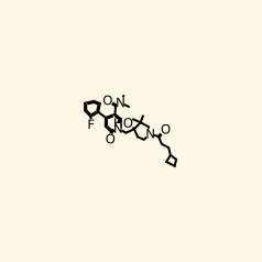 CN(C)C(=O)c1cn(CC2(O)CCN(C(=O)CCC3CCC3)CC2(C)C)c(=O)cc1-c1ccccc1F